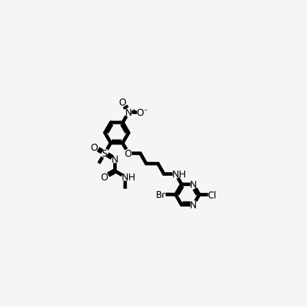 CNC(=O)N=S(C)(=O)c1ccc([N+](=O)[O-])cc1OCCCCNc1nc(Cl)ncc1Br